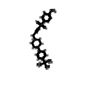 Nc1ccc(S(=O)(=O)C#CCN2CCN(c3ccc(C(O)(C(F)(F)F)C(F)(F)F)cc3)CC2)cn1